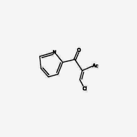 CC(=O)C(=CCl)C(=O)c1ccccn1